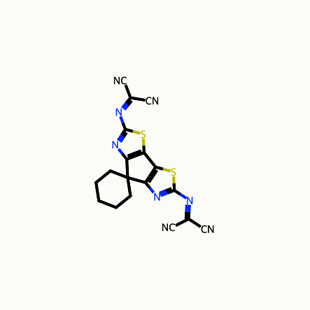 N#CC(C#N)=Nc1nc2c(s1)-c1sc(N=C(C#N)C#N)nc1C21CCCCC1